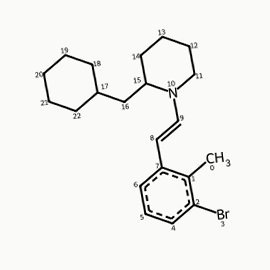 Cc1c(Br)cccc1C=CN1CCCCC1CC1CCCCC1